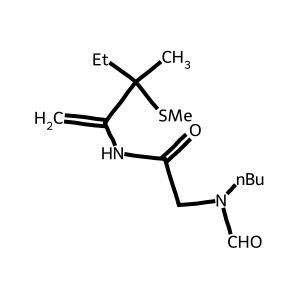 C=C(NC(=O)CN(C=O)CCCC)C(C)(CC)SC